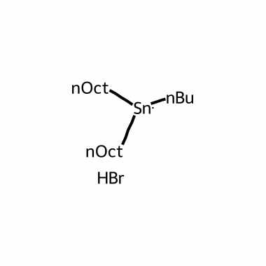 Br.CCCCCCC[CH2][Sn]([CH2]CCC)[CH2]CCCCCCC